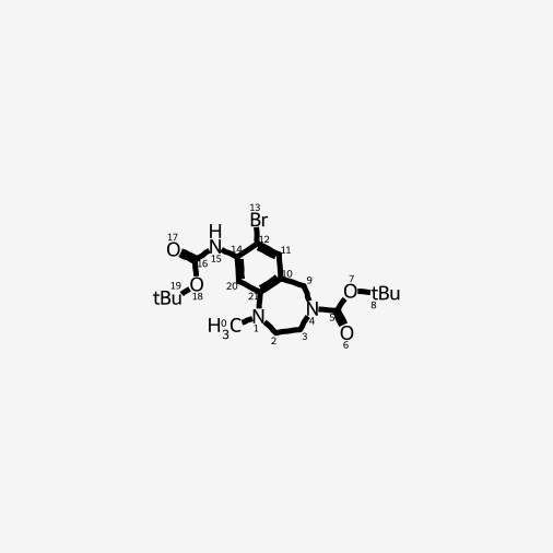 CN1CCN(C(=O)OC(C)(C)C)Cc2cc(Br)c(NC(=O)OC(C)(C)C)cc21